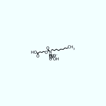 CCCCCCCCCNC(=O)OCCCC(=O)O.[O-][Cl+3]([O-])([O-])O